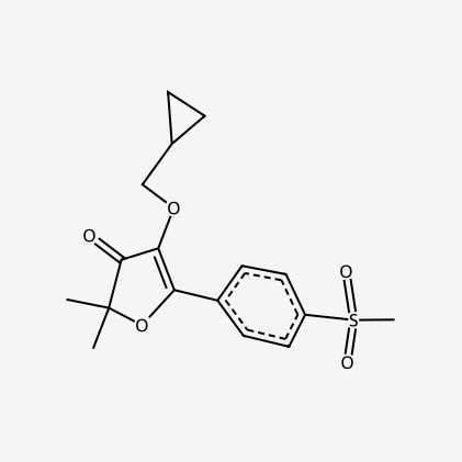 CC1(C)OC(c2ccc(S(C)(=O)=O)cc2)=C(OCC2CC2)C1=O